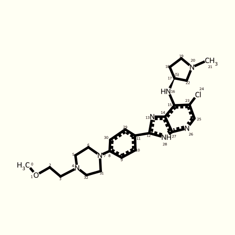 COCCN1CCN(c2ccc(-c3nc4c(N[C@H]5CCN(C)C5)c(Cl)cnc4[nH]3)cc2)CC1